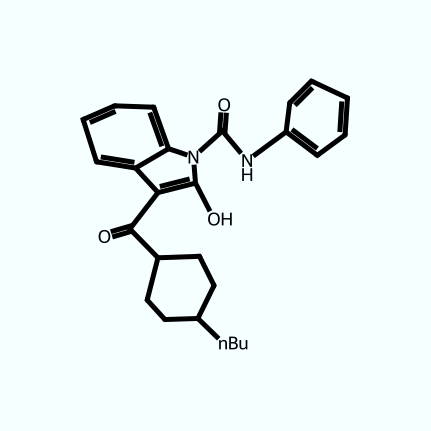 CCCCC1CCC(C(=O)c2c(O)n(C(=O)Nc3ccccc3)c3ccccc23)CC1